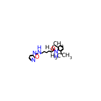 CC(C)c1cccc(C(C)C)c1NC(=O)CCCCCNc1nc2cccnc2o1